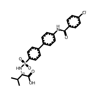 CC(C)[C@H](NS(=O)(=O)c1ccc(-c2ccc(NC(=O)c3ccc(Cl)cc3)cc2)cc1)C(=O)O